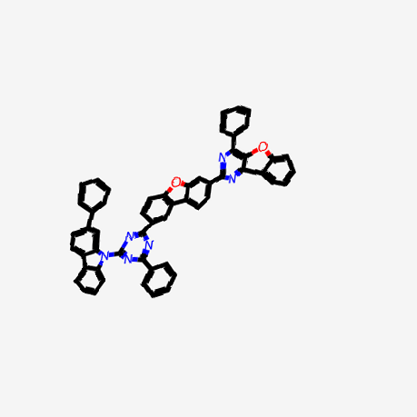 c1ccc(-c2ccc3c4ccccc4n(-c4nc(-c5ccccc5)nc(-c5ccc6oc7cc(-c8nc(-c9ccccc9)c9oc%10ccccc%10c9n8)ccc7c6c5)n4)c3c2)cc1